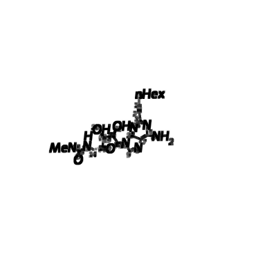 CCCCCCC#Cc1nc(N)c2ncn([C@@H]3O[C@H](CNC(=O)NC)[C@@H](O)[C@H]3O)c2n1